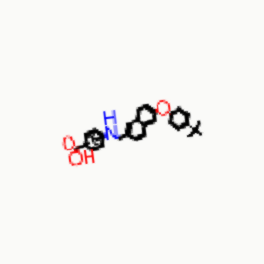 CC(C)(C)[C@H]1CC[C@@H](Oc2ccc3cc(CNC45CCC(C(=O)O)(CC4)CC5)ccc3c2)CC1